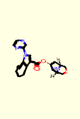 O=C(O[C@H]1C[C@H]2COC[C@@H](C1)N2)c1cn(-c2cnccn2)c2ccccc12